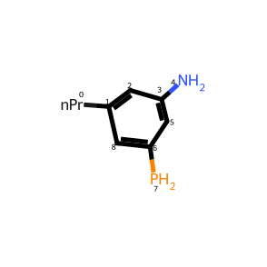 CCCc1cc(N)cc(P)c1